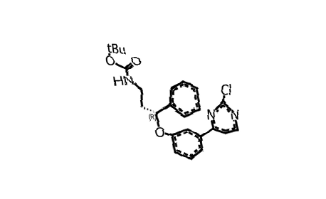 CC(C)(C)OC(=O)NCC[C@@H](Oc1cccc(-c2ccnc(Cl)n2)c1)c1ccccc1